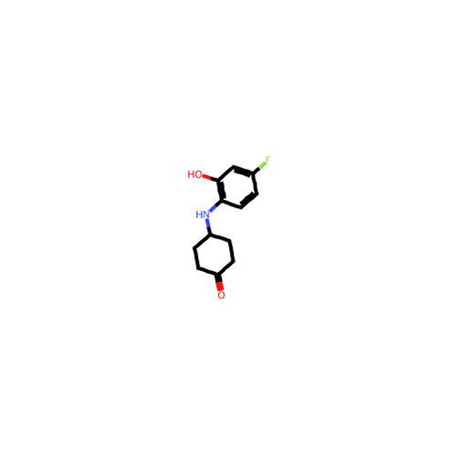 O=C1CCC(Nc2ccc(F)cc2O)CC1